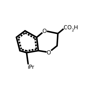 CC(C)c1cccc2c1OCC(C(=O)O)O2